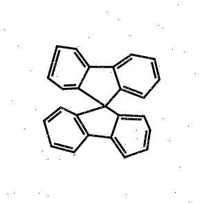 [c]1cccc2c1-c1ccccc1C21c2ccccc2-c2ccccc21